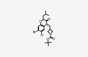 CC(C)CC1Oc2cc(Br)c(Cl)cc2N(CC2CN(C(=O)OC(C)(C)C)C2)C1=O